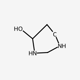 OC1CCNCN1